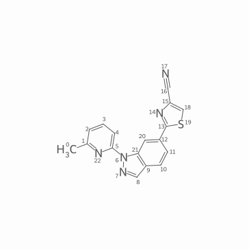 Cc1cccc(-n2ncc3ccc(-c4nc(C#N)cs4)cc32)n1